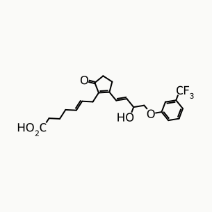 O=C(O)CCCC=CCC1=C(C=CC(O)COc2cccc(C(F)(F)F)c2)CCC1=O